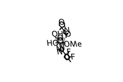 CO[C@@H]1[C@@H](n2cc(-c3ccc(C)c(F)c3F)nn2)[C@@H](O)[C@@H](CO)O[C@@H]1Cc1cc(C2(C)CCOCC2)no1